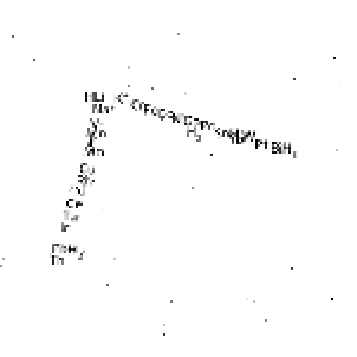 [BiH3].[Cd].[Ce].[Co].[Cr].[Cu].[Fe].[GaH3].[Ir].[K+].[LiH].[Mn][Mo].[Na+].[Ni].[PbH2].[Pd].[Pt].[Rh].[SnH4].[Ta].[Th].[V].[W].[Yb]